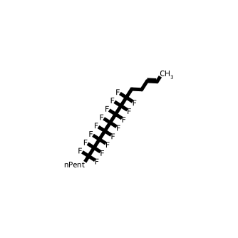 C/C=C/CCC(F)(F)C(F)(F)C(F)(F)C(F)(F)C(F)(F)C(F)(F)C(F)(F)C(F)(F)CCCCC